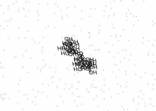 C=C1CC23CCC4C(C)(C(=O)OC(O)/C(OC(O)C(O)C(OC(O)/C(O)=C(\O)C(O)CCO)C(O)CC)=C(/OC(O)/C(O)=C(/O)C(O)CCO)C(O)CCO)CCCC4(C)C2CCC1(OC(O)/C(OC(O)/C(O)=C(/O)C(O)CCO)=C(\OC(O)/C(O)=C(/O)C(O)CCO)C(O)CCO)C3